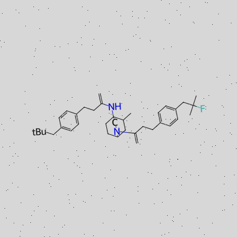 C=C(CCc1ccc(CC(C)(C)C)cc1)NC12CCC(CC1C)N(C(=C)CCc1ccc(CC(C)(C)F)cc1)C2